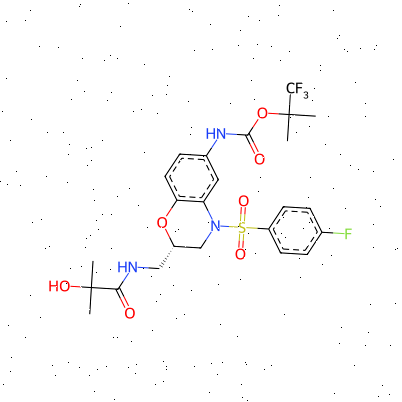 CC(C)(O)C(=O)NC[C@H]1CN(S(=O)(=O)c2ccc(F)cc2)c2cc(NC(=O)OC(C)(C)C(F)(F)F)ccc2O1